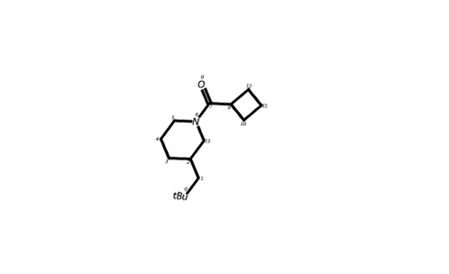 CC(C)(C)CC1CCCN(C(=O)C2CCC2)C1